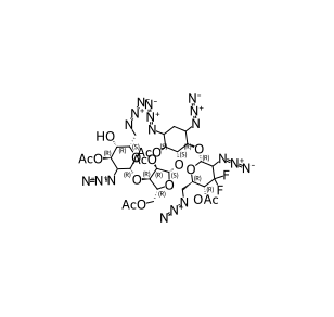 CC(=O)OC[C@H]1O[C@@H](O[C@H]2[C@H](O[C@H]3O[C@H](CN=[N+]=[N-])[C@@H](OC(C)=O)C(F)(F)C3N=[N+]=[N-])C(N=[N+]=[N-])CC(N=[N+]=[N-])[C@@H]2OC(C)=O)[C@H](OC(C)=O)[C@@H]1O[C@H]1O[C@@H](CN=[N+]=[N-])[C@@H](O)[C@H](OC(C)=O)C1N=[N+]=[N-]